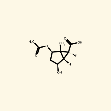 CC(=O)O[C@@H]1C[C@H](O)[C@@H]2[C@@]1(C)[C@@]2(F)C(=O)O